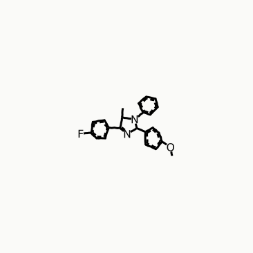 COc1ccc(C2N=C(c3ccc(F)cc3)C(C)N2c2ccccc2)cc1